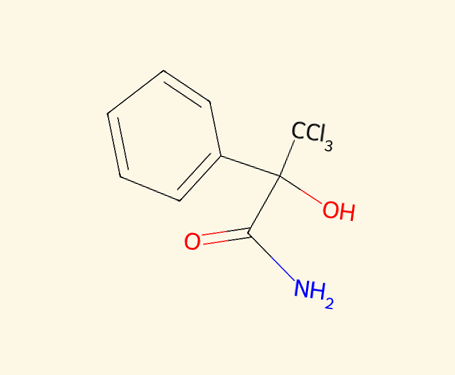 NC(=O)C(O)(c1ccccc1)C(Cl)(Cl)Cl